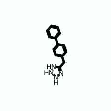 [CH](C1=NNNN1)c1ccc(-c2ccccc2)cc1